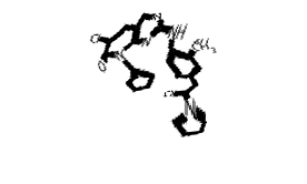 Cc1cc(CC(=O)N2CCCC2)ccc1Nc1ncc2cc(Cl)c(=O)n(C3CCCC3)c2n1